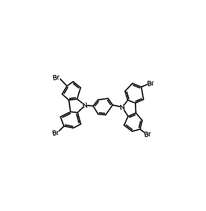 Brc1ccc2c(c1)c1cc(Br)ccc1n2-c1ccc(-n2c3ccc(Br)cc3c3cc(Br)ccc32)cc1